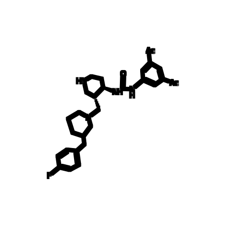 CC(=O)c1cc(NC(=O)N[C@@H]2CCNC[C@H]2CN2CCCC(Cc3ccc(F)cc3)C2)cc(C(C)=O)c1